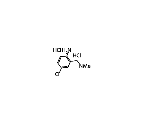 CNCc1cc(Cl)ccc1N.Cl.Cl